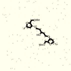 COCC1O[C@@H](I)C[C@H]1OCCC(O)CCO[C@@H]1C[C@H](I)OC1COC